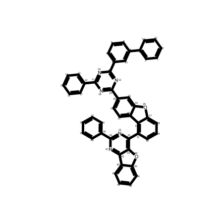 c1ccc(-c2cccc(-c3nc(-c4ccccc4)nc(-c4ccc5c(c4)oc4cccc(-c6nc(-c7ccccc7)nc7c6oc6ccccc67)c45)n3)c2)cc1